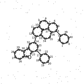 c1ccc(-c2ccc3ccc4ccc(-c5cc(-c6ccccc6)c6oc7ccccc7c6c5)c5ccc2c3c45)cc1